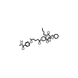 CCCCN1C(=O)[C@@H](CC2(O)CCCCC2)NC(=O)C12CCN(C(=O)CCCC(C)Oc1ccc(C(=O)NC)cc1)CC2